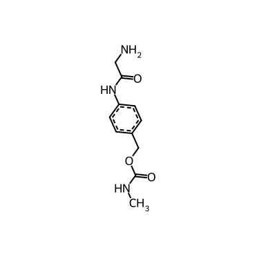 CNC(=O)OCc1ccc(NC(=O)CN)cc1